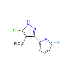 CCOC(=O)c1c(-c2cccc(F)n2)n[nH]c1Cl